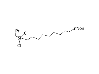 CCCCCCCCCCCCCCCCCC[Si](Cl)(Cl)CC(C)C